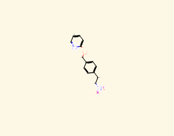 O=[N+](O)CCc1ccc(COc2ccccn2)cc1